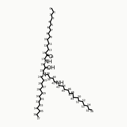 CCCCCCCCCCCCCCCC(=O)CNCC(O)CN(CCCCCCCCCCCCCC)CCCCNCCCCCCCCCCCCCC